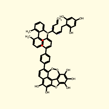 C=C/C=C(\C=C/Cc1c(O)cc(O)cc1O)N(c1ccc(-c2ccc(-c3ccc4c(O)c(O)c5oc6c(O)c(O)c(O)c7c6c5c4c3OO7)cc2)cc1)c1cccc(C)c1-c1ccccc1C